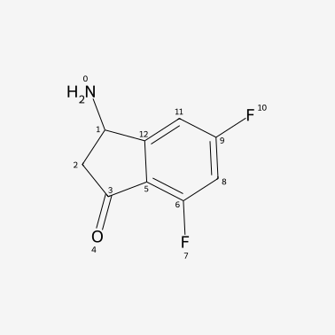 NC1CC(=O)c2c(F)cc(F)cc21